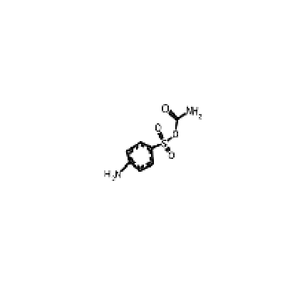 NC(=O)OS(=O)(=O)c1ccc(N)cc1